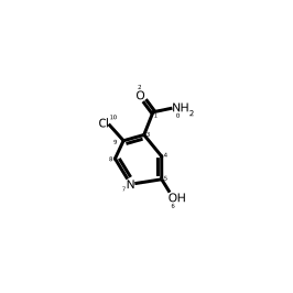 NC(=O)c1cc(O)ncc1Cl